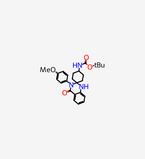 COc1ccc(N2C(=O)c3ccccc3NC23CCC(NC(=O)OC(C)(C)C)CC3)cc1